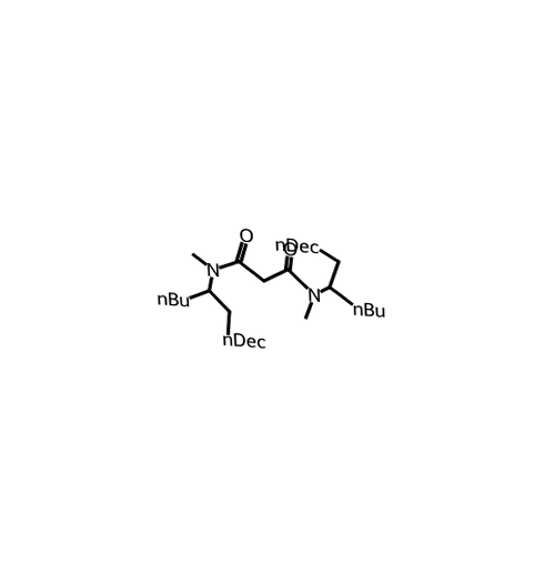 CCCCCCCCCCCC(CCCC)N(C)C(=O)CC(=O)N(C)C(CCCC)CCCCCCCCCCC